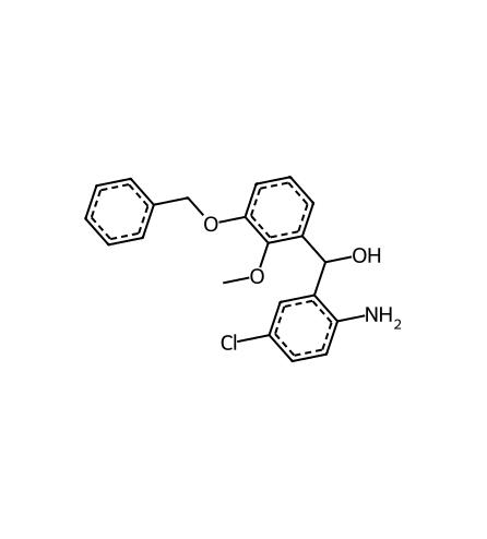 COc1c(OCc2ccccc2)cccc1C(O)c1cc(Cl)ccc1N